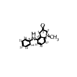 CN1CC(=O)Cc2c(Nc3ccccc3)cccc21